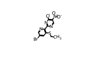 CCSc1cc(Br)cnc1-c1ncc([N+](=O)[O-])c(Cl)n1